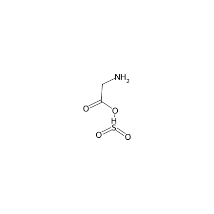 NCC(=O)O[SH](=O)=O